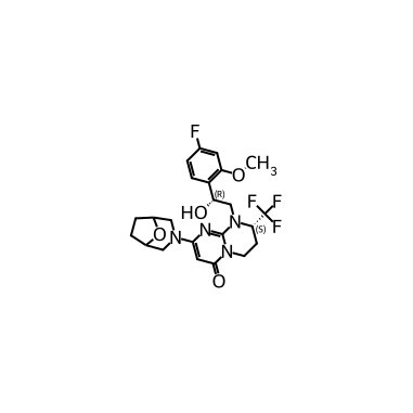 COc1cc(F)ccc1[C@@H](O)CN1c2nc(N3CC4CCC(C3)O4)cc(=O)n2CC[C@H]1C(F)(F)F